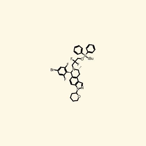 C[C@@H]1Cc2c(ccc3c2cnn3C2CCCCO2)[C@@H](c2c(F)cc(Br)cc2F)N1CC(F)(F)CO[Si](c1ccccc1)(c1ccccc1)C(C)(C)C